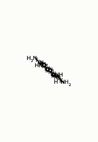 NCCCCc1nc2ccc(-c3ccc4cc(-c5ccc6c(c5)NC(CCCCN)N6)ccc4c3)cc2[nH]1